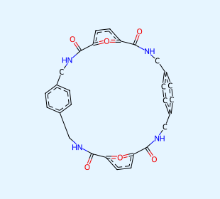 O=C1NCc2ccc(cc2)CNC(=O)c2ccc(o2)C(=O)NCc2ccc(cc2)CNC(=O)c2ccc1o2